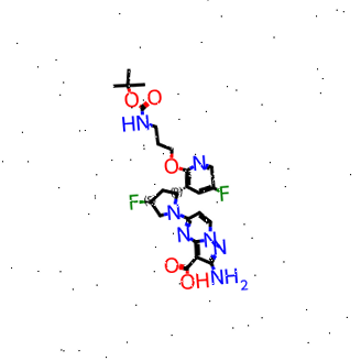 CC(C)(C)OC(=O)NCCCOc1ncc(F)cc1[C@H]1C[C@H](F)CN1c1ccn2nc(N)c(C(=O)O)c2n1